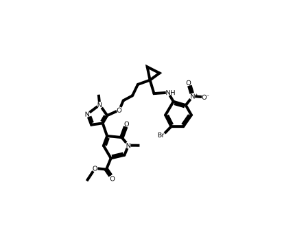 COC(=O)c1cc(-c2cnn(C)c2OCCCC2(CNc3cc(Br)ccc3[N+](=O)[O-])CC2)c(=O)n(C)c1